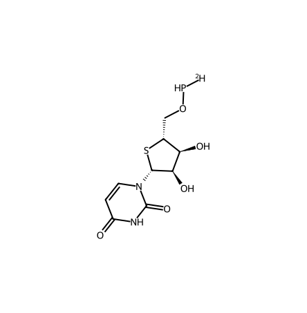 [2H]POC[C@H]1S[C@@H](n2ccc(=O)[nH]c2=O)[C@H](O)[C@@H]1O